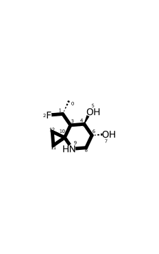 C[C@@H](F)C1[C@@H](O)[C@H](O)CNC12CC2